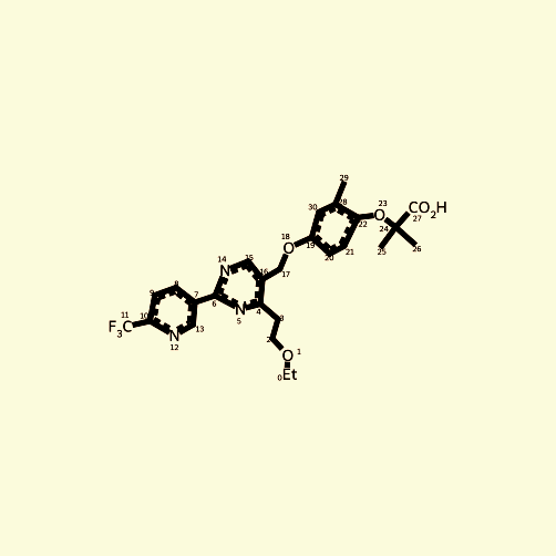 CCOCCc1nc(-c2ccc(C(F)(F)F)nc2)ncc1COc1ccc(OC(C)(C)C(=O)O)c(C)c1